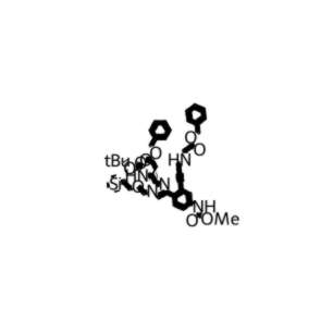 COC(=O)Nc1ccc(-c2cn(COCC[Si](C)(C)C)c([C@H](CC(=O)OCc3ccccc3)NC(=O)OC(C)(C)C)n2)c(C#CCNCC(=O)OCc2ccccc2)c1